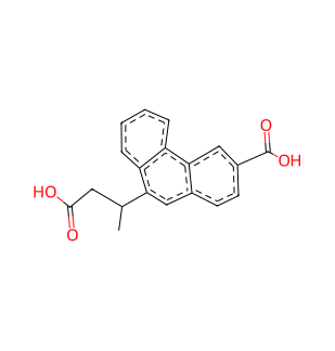 CC(CC(=O)O)c1cc2ccc(C(=O)O)cc2c2ccccc12